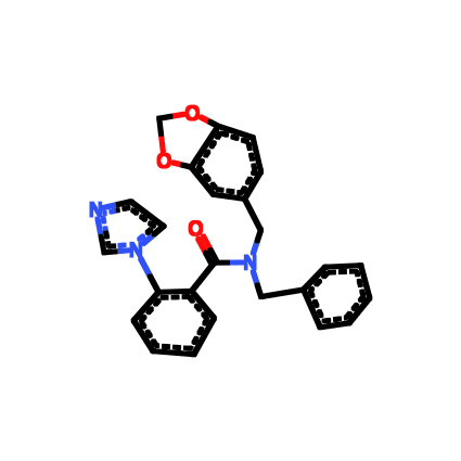 O=C(c1ccccc1-n1ccnc1)N(Cc1ccccc1)Cc1ccc2c(c1)OCO2